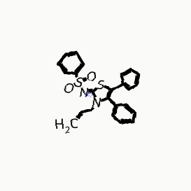 C=CCn1c(-c2ccccc2)c(-c2ccccc2)s/c1=N\S(=O)(=O)c1ccccc1